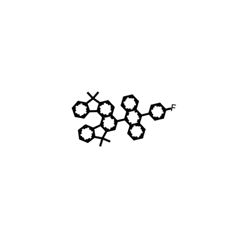 CC1(C)c2ccccc2-c2c1ccc1c(-c3c4ccccc4c(-c4ccc(F)cc4)c4ccccc34)cc3c(c21)-c1ccccc1C3(C)C